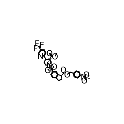 COC(=O)[C@H]1CN(S(=O)(=O)c2ccc3c(c2)C(C(=O)OCc2ccc([N+](=O)[O-])cc2)CC3)CCC1c1ccc(C(F)(F)F)cn1